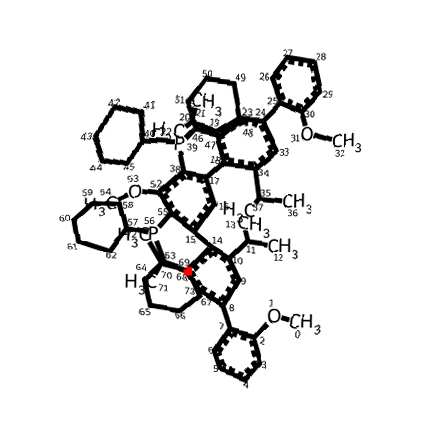 COc1ccccc1-c1cc(C(C)C)c(-c2cc(-c3c(C(C)C)cc(-c4ccccc4OC)cc3C(C)C)c(P(C3CCCCC3)C3CCCCC3)c(OC)c2P(C2CCCCC2)C2CCCCC2)c(C(C)C)c1